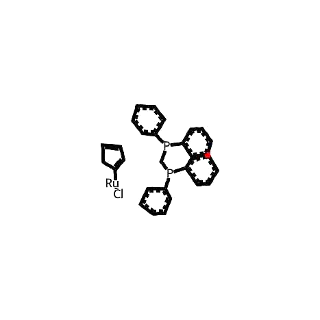 [Cl][Ru][C]1=CC=CC1.c1ccc(P(CP(c2ccccc2)c2ccccc2)c2ccccc2)cc1